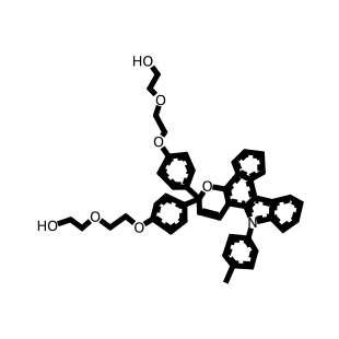 Cc1ccc(-n2c3ccccc3c3c4ccccc4c4c(c32)C=CC(c2ccc(OCCOCCO)cc2)(c2ccc(OCCOCCO)cc2)O4)cc1